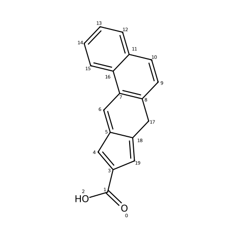 O=C(O)C1=CC2=Cc3c(ccc4ccccc34)CC2=C1